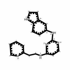 c1ccc(CCNc2ccnc(Nc3ccc4[nH]ccc4c3)n2)nc1